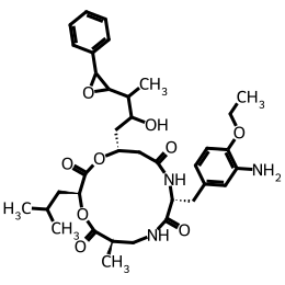 CCOc1ccc(C[C@H]2NC(=O)C[C@@H](CC(O)C(C)C3OC3c3ccccc3)OC(=O)[C@H](CC(C)C)OC(=O)[C@H](C)CNC2=O)cc1N